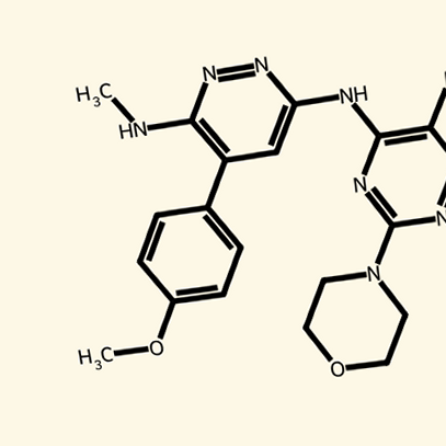 CNc1nnc(Nc2nc(N3CCOCC3)ncc2F)cc1-c1ccc(OC)cc1